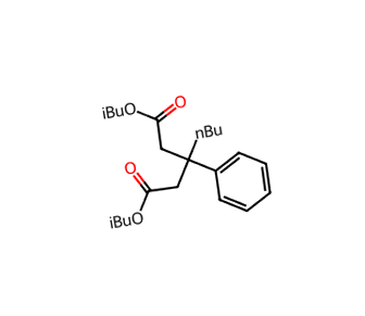 CCCCC(CC(=O)OCC(C)C)(CC(=O)OCC(C)C)c1ccccc1